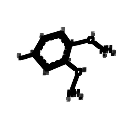 Cc1ccc(ON)c(ON)c1